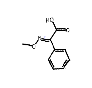 CO/N=C(/C(=O)O)c1cc[c]cc1